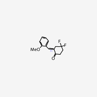 COc1ccccc1/C=C1\CC(F)(F)CCC1=O